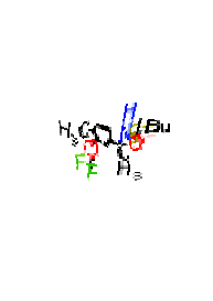 Cc1ccc(C(C)N[S+]([O-])C(C)(C)C)cc1OCC(F)F